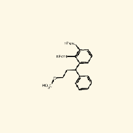 CCCCCc1cccc(C(CCOC(=O)O)c2ccccc2)c1CCCCC